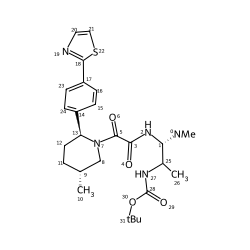 CN[C@@H](NC(=O)C(=O)N1C[C@H](C)CC[C@H]1c1ccc(-c2nccs2)cc1)C(C)NC(=O)OC(C)(C)C